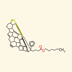 CCCCCCOC(=O)CCCC1(c2ccccc2)C23C4C5=c6c7c8c9c%10c6=C(C5)C5C#CC6CC%11=CC%12C%13CCC%14C[SH]12(C1=C8C2=C(C%12C%11C(=C29)C6C%105)C%13C1%14)C743